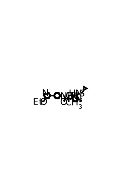 CCOc1cncc(-c2ccc(NC(=O)C(C)(C)c3ccnc(NSC4CC4)n3)cc2)c1